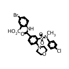 CN(c1ccc(Cl)cc1)S(=O)(=O)c1cc(C(=O)Nc2ccc(Br)cc2C(=O)O)ccc1N1CCOCC1